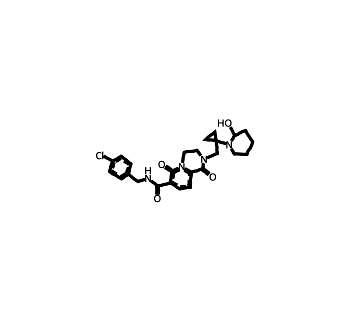 O=C(NCc1ccc(Cl)cc1)c1ccc2n(c1=O)CCN(CC1(N3CCCCC3O)CC1)C2=O